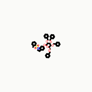 Cc1ccccc1S(=O)(=O)n1ccc2ccc(OC3O[C@H](COCc4ccccc4)[C@@H](OCc4ccccc4)[C@H](OCc4ccccc4)[C@H]3OCc3ccccc3)cc21